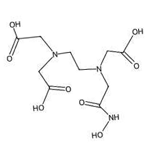 O=C(O)CN(CCN(CC(=O)O)CC(=O)NO)CC(=O)O